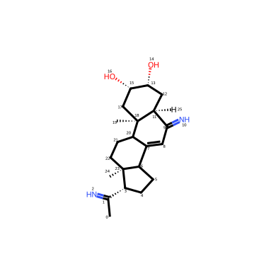 CC(=N)[C@H]1CCC2C3=CC(=N)[C@@H]4C[C@@H](O)[C@@H](O)C[C@]4(C)C3CC[C@@]21C